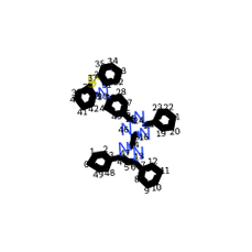 c1ccc(-c2cc(-c3ccccc3)nc(-c3nc(-c4ccccc4)nc(-c4ccc(N5c6ccccc6Sc6ccccc65)cc4)n3)n2)cc1